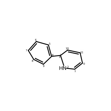 C1=CN[C](c2ccccc2)C=C1